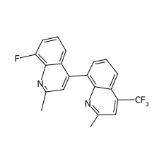 Cc1cc(-c2cccc3c(C(F)(F)F)cc(C)nc23)c2cccc(F)c2n1